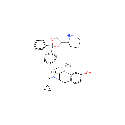 CC1C2Cc3ccc(O)cc3C1(C)CCN2CC1CC1.c1ccc(C2(c3ccccc3)OC[C@H]([C@@H]3CCCCN3)O2)cc1